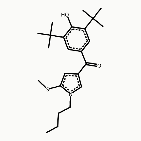 CCCCn1cc(C(=O)c2cc(C(C)(C)C)c(O)c(C(C)(C)C)c2)cc1SC